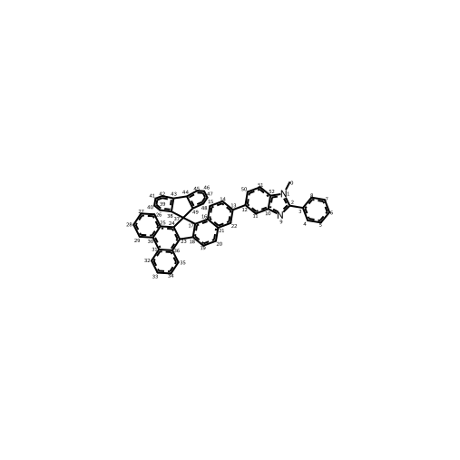 Cn1c(-c2ccccc2)nc2cc(-c3ccc4c5c(ccc4c3)-c3c(c4ccccc4c4ccccc34)C53c4ccccc4-c4ccccc43)ccc21